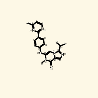 Cc1ccnc(-c2ccc(Oc3cn4c(C(C)C)ncc4c(=O)n3C)cc2)n1